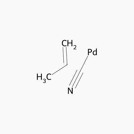 C=CC.N#[C][Pd]